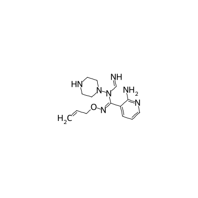 C=CCON=C(c1cccnc1N)N(C=N)N1CCNCC1